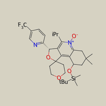 CC(C)c1c2c(c3c([n+]1[O-])CC(C)(C)CC3O[Si](C)(C)C(C)(C)C)C1(CCOCC1)O[C@@H]2c1ccc(C(F)(F)F)cn1